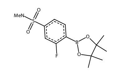 CNS(=O)(=O)c1ccc(B2OC(C)(C)C(C)(C)O2)c(F)c1